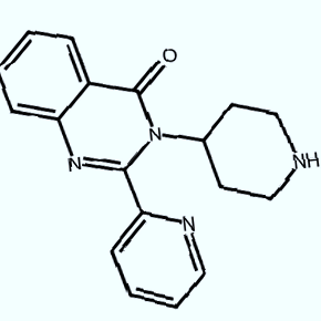 O=c1c2ccccc2nc(-c2ccccn2)n1C1CCNCC1